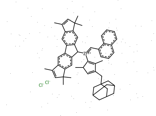 CC1=CC(C)(C)c2cc3c(cc21)-c1cc2c(cc1[CH]3/[Zr+2](=[CH]/c1cccc3ccccc13)[C]1=C(C)C(CC34CC5CC(CC(C5)C3)C4)=CC1C)C(C)(C)C=C2C.[Cl-].[Cl-]